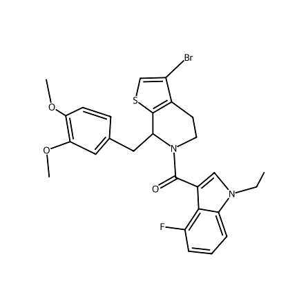 CCn1cc(C(=O)N2CCc3c(Br)csc3C2Cc2ccc(OC)c(OC)c2)c2c(F)cccc21